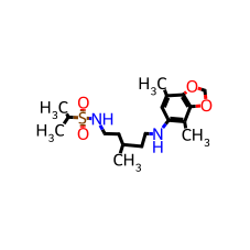 Cc1cc(NCCC(C)CCNS(=O)(=O)C(C)C)c(C)c2c1OCO2